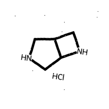 C1NCC2NCC12.Cl